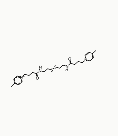 CC1=CCN(CCCC(=O)NCCSSCCNC(=O)CCC[n+]2ccc(C)cc2)C=C1